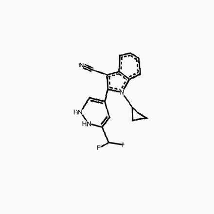 N#Cc1c(C2=CNNC(C(F)F)=C2)n(C2CC2)c2ccccc12